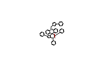 C1=CC(CN2c3ccccc3C3(c4ccccc42)c2cc(-c4ccccc4)ccc2N(c2ccccc2)c2ccc(-c4ccccc4)cc23)C=C1c1ccccc1